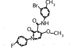 CCOc1ccn(-c2ccc(F)cc2)c(=O)c1C(=O)Nc1ccc(C)c(Br)c1